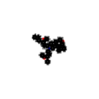 CC1(C)c2ccccc2-c2ccc(-c3cc4c(c5c3oc3ccccc35)-c3ccc(N(c5ccc6c(c5)C(C)(C)c5cc(-c7ccccc7)c7oc8ccccc8c7c5-6)c5ccc6c(c5)C5(c7ccccc7-c7ccccc75)c5cc7c(cc5-6)C5(c6ccccc6-c6ccccc65)c5ccc6oc8ccccc8c6c5-7)cc3C4(C)C)cc21